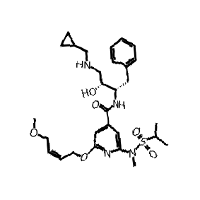 COC/C=C\COc1cc(C(=O)N[C@@H](Cc2ccccc2)[C@H](O)CNCC2CC2)cc(N(C)S(=O)(=O)C(C)C)n1